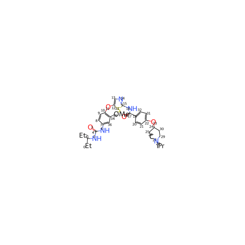 CCC(CC)NC(=O)Nc1ccc(Oc2cnc(NC(=O)c3ccc(OC4CCN(C(C)C)CC4)cc3)s2)c(OC)c1